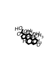 CC1CC(=O)C=C2CC[C@@H]3[C@H]([C@@H](O)C[C@@]4(C)[C@H]3CC[C@]4(O)C(=O)CO)[C@]21C